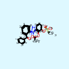 CCCC(=O)Oc1c(Nc2ccccc2C(=O)c2ccccc2)cccc1OS(=O)(=O)C(F)(F)F